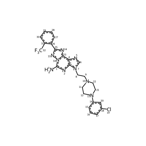 Nc1nc2c(ncn2CCN2CCN(c3cccc(Cl)c3)CC2)c2nc(-c3ccccc3C(F)(F)F)nn12